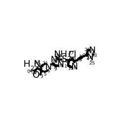 C[C@@H]1OCC2(CCN(c3cnc(Sc4ccnc(C#Cc5cncn5C)c4Cl)c(N)n3)CC2)[C@@H]1N